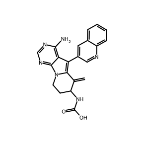 C=C1c2c(-c3cnc4ccccc4c3)c3c(N)ncnc3n2CCC1NC(=O)O